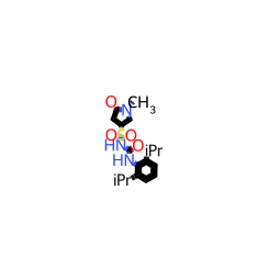 CC(C)c1cccc(C(C)C)c1NC(=O)NS(=O)(=O)C1CC(=O)N(C)C1